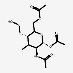 CC(=O)N[C@H]1C(C)[C@H](OOO)C(COC(C)=O)O[C@@H]1OC(C)=O